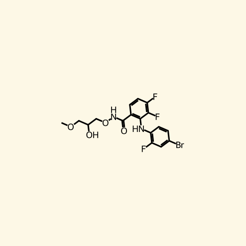 COCC(O)CONC(=O)c1ccc(F)c(F)c1Nc1ccc(Br)cc1F